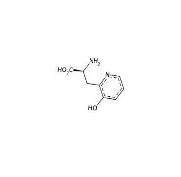 N[C@@H](Cc1ncccc1O)C(=O)O